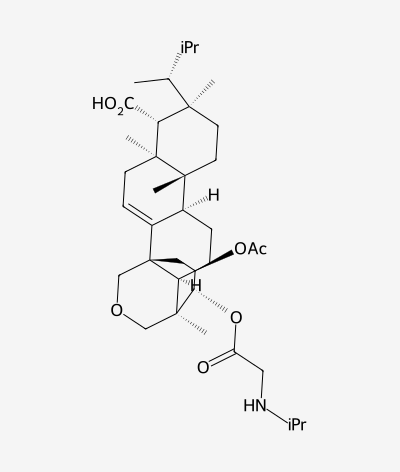 CC(=O)O[C@@H]1C[C@]23COC[C@@](C)([C@@H]2CC[C@H]2C3=CC[C@@]3(C)[C@H](C(=O)O)[C@@](C)([C@H](C)C(C)C)CC[C@]23C)[C@H]1OC(=O)CNC(C)C